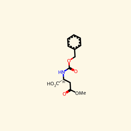 COC(=O)C[C@@H](NC(=O)OCc1ccccc1)C(=O)O